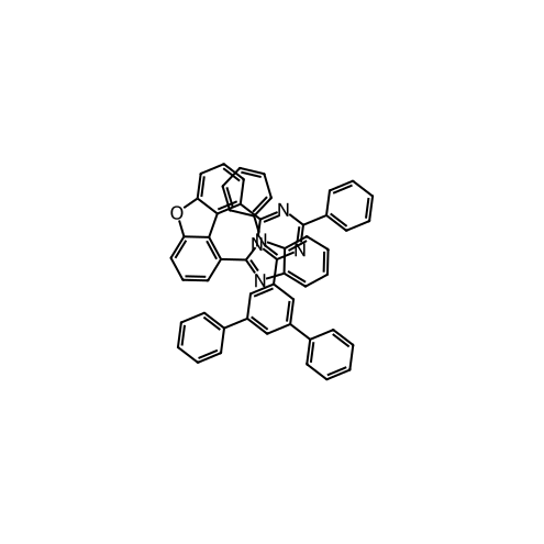 c1ccc(-c2cc(-c3ccccc3)cc(-c3nc(-c4ccccc4)nc(-c4cccc5oc6cccc(-c7nc8ccccc8n7-c7ccccc7)c6c45)n3)c2)cc1